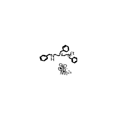 CCN(CCN(CCNCc1ccccc1)Cc1ccccc1)Cc1ccccc1.O=S(=O)([O-])[O-].[Mn+2]